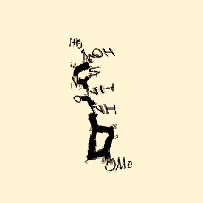 COc1ccc(CNC(=O)Nc2ncc(N(O)O)s2)cc1